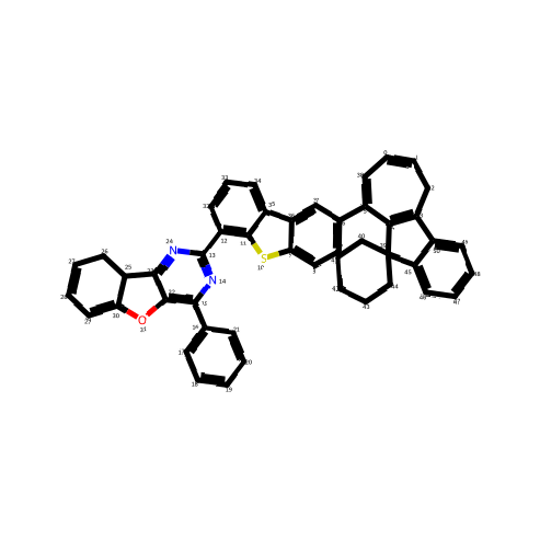 C1=CCC2=C(C(c3ccc4sc5c(-c6nc(-c7ccccc7)c7c(n6)C6CC=CC=C6O7)cccc5c4c3)=C1)C1(CCCCC1)c1ccccc12